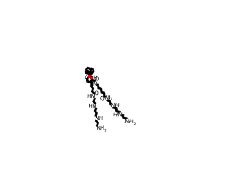 NCCCNCCCCNCCCNC(=O)CCCCCNC(=O)C1CCCC(C23CC4CC(C2)C(C(=O)NCCCCCC(=O)NCCCNCCCCNCCCN)C(C4)C3)C1